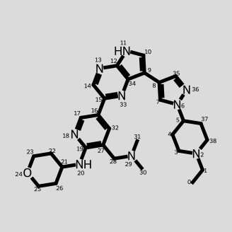 CCN1CCC(n2cc(-c3c[nH]c4ncc(-c5cnc(NC6CCOCC6)c(CN(C)C)c5)nc34)cn2)CC1